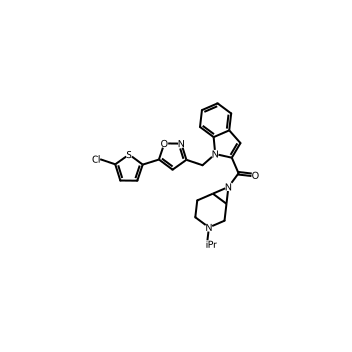 CC(C)N1CCC2C(C1)N2C(=O)c1cc2ccccc2n1Cc1cc(-c2ccc(Cl)s2)on1